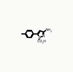 Cc1ccc(-c2cc(N)nn2C(=O)O)cc1